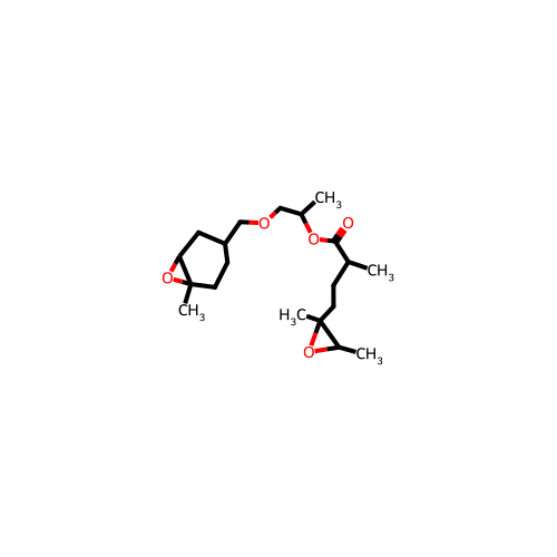 CC(COCC1CCC2(C)OC2C1)OC(=O)C(C)CCC1(C)OC1C